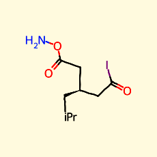 CC(C)C[C@H](CC(=O)I)CC(=O)ON